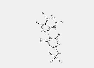 Cc1nc2c(c(C)cn2-c2c(Br)cc(OC(F)(F)F)cc2Br)c(=O)[nH]1